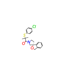 CC(C)(Sc1ccc(Cl)cc1)C(=O)N1CC[C@@]2(C1)OCc1ccccc12